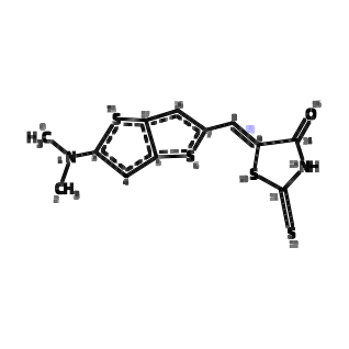 CN(C)c1cc2sc(/C=C3\SC(=S)NC3=O)cc2s1